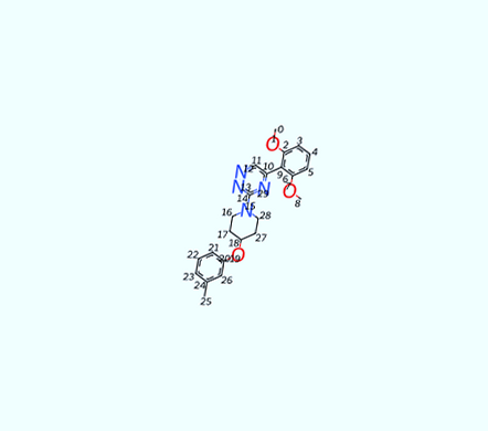 COc1cccc(OC)c1-c1cnnc(N2CCC(Oc3cccc(C)c3)CC2)n1